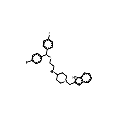 Fc1ccc(C(SCCNC2CCN(Cc3cc4ccccc4[nH]3)CC2)c2ccc(F)cc2)cc1